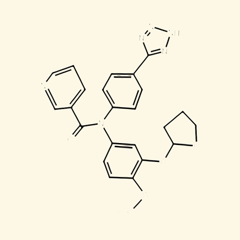 COc1ccc(N(C(=O)c2cccnc2)c2ccc(-c3nn[nH]n3)cc2)cc1OC1CCCO1